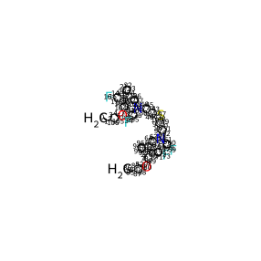 C=CC1=CC=C(OC2C=CC(C3(C4C=CC(F)=CC4)c4ccccc4-c4ccc(N(C5=CCC(F)C=C5)C5=CC6CC7C(CC6C=C5)SC5CC6C=CC(N(c8ccc(F)cc8)C8C=CC9=C(C8)C(c8ccc(F)cc8)(C8C=CC(OC%10CCC(C=C)CC%10)CC8)c8ccccc89)=CC6CC57)cc43)=CC2)CC1